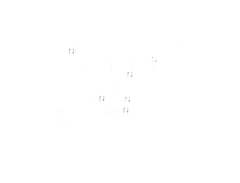 N#Cc1ccc(C(c2nncn2Cc2ccccc2)N2CCN(C3CCC3)CC2)cc1